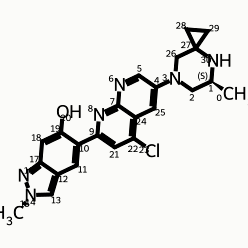 C[C@H]1CN(c2cnc3nc(-c4cc5cn(C)nc5cc4O)cc(Cl)c3c2)CC2(CC2)N1